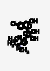 C=Nc1c(/C(C)=N\C)ccn1[C@@H]1O[C@H]([C@@H]2OC(O)Cc3cc(Cl)ccc32)[C@@H](O)[C@H]1O